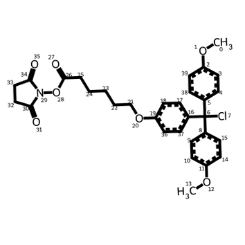 COc1ccc(C(Cl)(c2ccc(OC)cc2)c2ccc(OCCCCCC(=O)ON3C(=O)CCC3=O)cc2)cc1